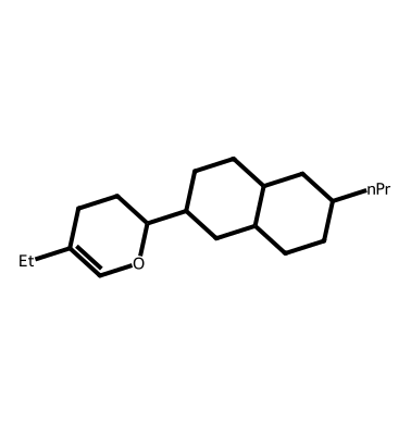 CCCC1CCC2CC(C3CCC(CC)=CO3)CCC2C1